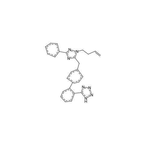 C=CCCn1nc(-c2ccccc2)nc1Cc1ccc(-c2ccccc2-c2nnn[nH]2)cc1